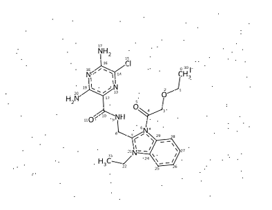 CCOCC(=O)[n+]1c(CNC(=O)c2nc(Cl)c(N)nc2N)n(CC)c2ccccc21.[I-]